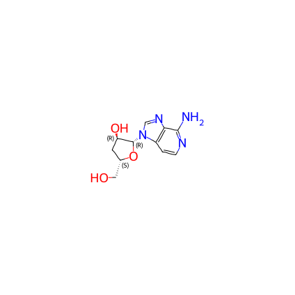 Nc1nccc2c1ncn2[C@@H]1O[C@H](CO)C[C@H]1O